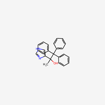 CC(O)(c1c[nH]cn1)C(c1ccccc1)(c1ccccc1)c1ccccc1